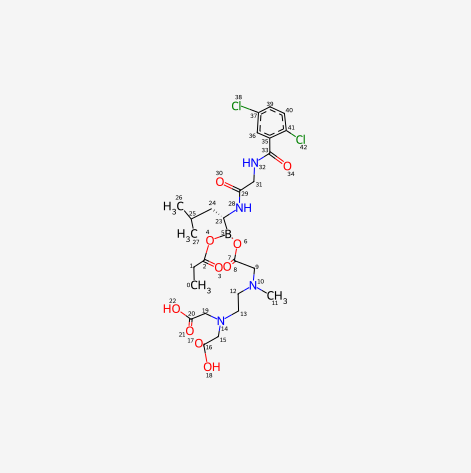 CCC(=O)OB(OC(=O)CN(C)CCN(CC(=O)O)CC(=O)O)[C@H](CC(C)C)NC(=O)CNC(=O)c1cc(Cl)ccc1Cl